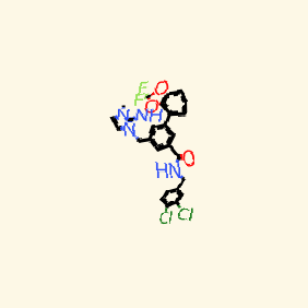 Cn1ccn(Cc2cc(C(=O)NCc3ccc(Cl)c(Cl)c3)cc(-c3cccc4c3OC(F)(F)O4)c2)c1=N